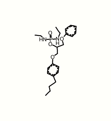 CCCCc1ccc(OCC(COc2ccccc2)OP(=O)(NCC)NCC)cc1